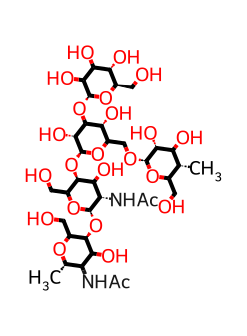 CC(=O)NC1C(O)[C@H](O[C@@H]2OC(CO)[C@@H](O[C@@H]3OC(CO[C@H]4OC(CO)[C@@H](C)C(O)[C@H]4O)[C@@H](O)C(O[C@H]4O[C@H](CO)[C@@H](O)C(O)C4O)[C@H]3O)C(O)[C@@H]2NC(C)=O)C(CO)O[C@H]1C